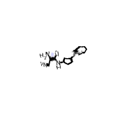 N=C/C(N)=C(/Cl)NC1CCC(N2CCCCC2)C1